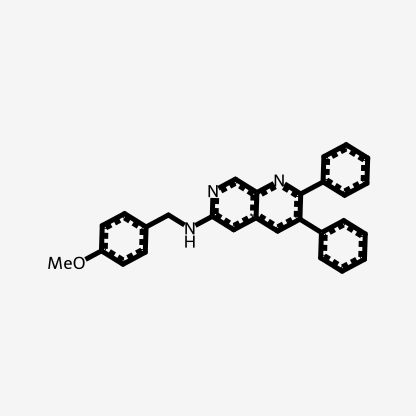 COc1ccc(CNc2cc3cc(-c4ccccc4)c(-c4ccccc4)nc3cn2)cc1